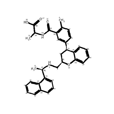 Cc1ccc([C@@H]2C[C@H](CN[C@H](C)c3cccc4ccccc34)Oc3ccccc32)cc1C(=O)NC(C)C(=O)O